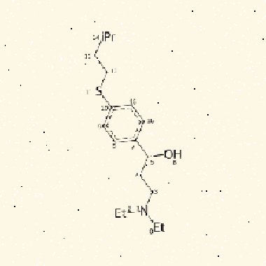 CCN(CC)CCC(O)c1ccc(SCCC(C)C)cc1